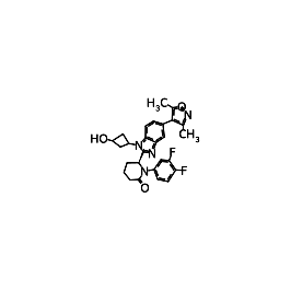 Cc1noc(C)c1-c1ccc2c(c1)nc([C@@H]1CCCC(=O)N1c1ccc(F)c(F)c1)n2C1CC(O)C1